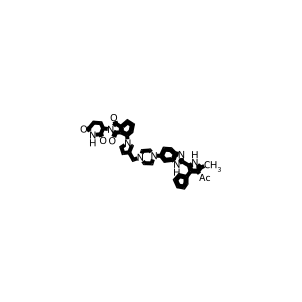 CC(=O)c1c(C)[nH]c(-c2nc3ccc(N4CCN(CC5CCN(c6cccc7c6C(=O)N(C6CCC(=O)NC6=O)C7=O)C5)CC4)cc3[nH]2)c1-c1ccccc1